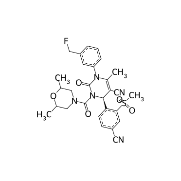 CC1=C(C#N)[C@@H](c2ccc(C#N)cc2S(C)(=O)=O)N(C(=O)N2CC(C)OC(C)C2)C(=O)N1c1cccc(CF)c1